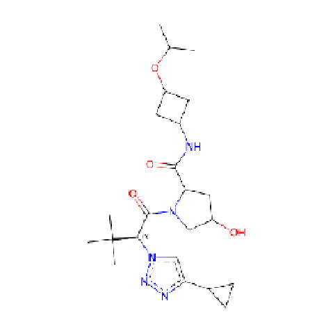 CC(C)OC1CC(NC(=O)C2CC(O)CN2C(=O)[C@@H](n2cc(C3CC3)nn2)C(C)(C)C)C1